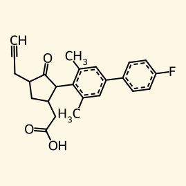 C#CCC1CC(CC(=O)O)C(c2c(C)cc(-c3ccc(F)cc3)cc2C)C1=O